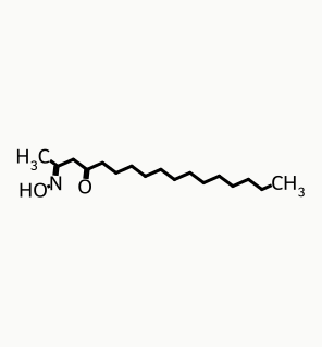 CCCCCCCCCCCCCC(=O)CC(C)=NO